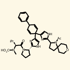 CC(=O)N1C(c2nc(C3(c4c[nH]c([C@@H]5CCCN5C(=O)[C@H](C(C)C)N(C)C(=O)O)n4)C=CC(c4ccccc4)C=C3)c[nH]2)CCC12CCOCC2